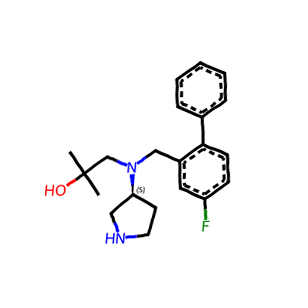 CC(C)(O)CN(Cc1cc(F)ccc1-c1ccccc1)[C@H]1CCNC1